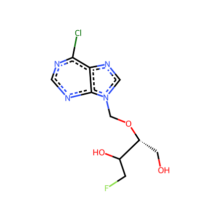 OC[C@@H](OCn1cnc2c(Cl)ncnc21)C(O)CF